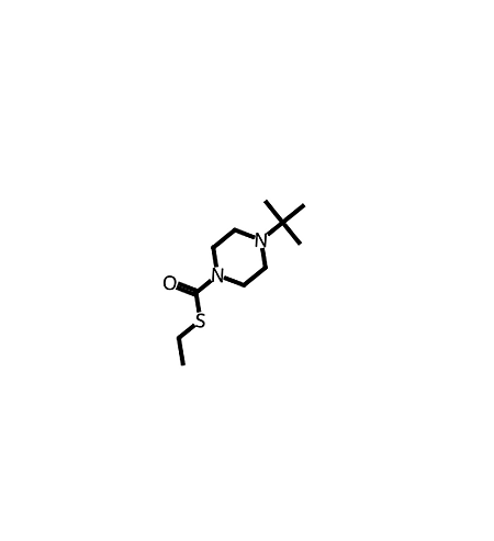 CCSC(=O)N1CCN(C(C)(C)C)CC1